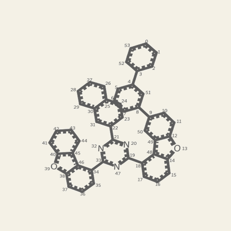 c1ccc(-c2cccc(-c3ccc4oc5cccc(-c6nc(-c7ccc8ccccc8c7)nc(-c7cccc8oc9ccccc9c78)n6)c5c4c3)c2)cc1